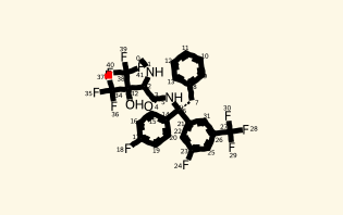 CNC(C(=O)N[C@](Cc1ccccc1)(c1ccc(F)cc1)c1cc(F)cc(C(F)(F)F)c1)C(O)(C(F)(F)F)C(F)(F)F